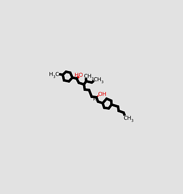 CCCCC1CCC(C[C@H](O)CCCC(CC(O)C2CCC(C)CC2)C(C)CC)CC1